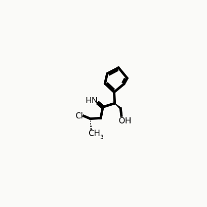 C[C@H](Cl)CC(=N)[C@H](CO)c1ccccc1